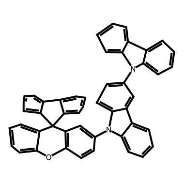 c1ccc2c(c1)Oc1ccc(-n3c4ccccc4c4cc(-n5c6ccccc6c6ccccc65)ccc43)cc1C21c2ccccc2-c2ccccc21